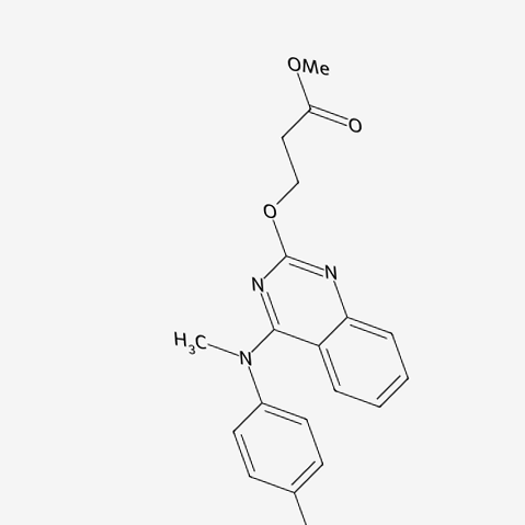 COC(=O)CCOc1nc(N(C)c2ccc(OC)cc2)c2ccccc2n1